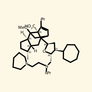 CCCN(CCN1CCCCC1)C[C@@H]1O[C@@H](C23C[C@@H]4[C@H](C)CC[C@H]4C4(OC)CC2C=C(C(C)C)[C@]43C(=O)O)C[C@H]1C1CCCCCC1